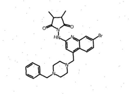 CC1C(=O)N(Nc2cc(CN3CCN(Cc4ccccc4)CC3)c3ccc(Br)cc3n2)C(=O)C1C